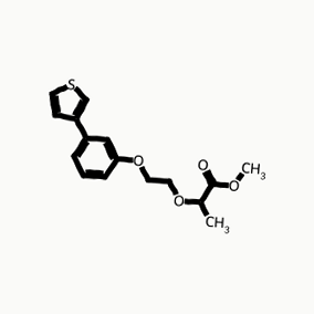 COC(=O)C(C)OCCOc1cccc(-c2ccsc2)c1